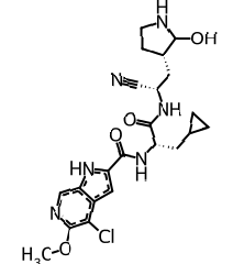 COc1ncc2[nH]c(C(=O)N[C@@H](CC3CC3)C(=O)N[C@H](C#N)C[C@@H]3CCNC3O)cc2c1Cl